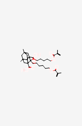 C=C(C)C(=O)OCCCCCCC1(CCCCCCOC(=O)C(=C)C)C2(C(=O)O)CC3(C)CC(C)(C2)CC1(C(=O)O)C3